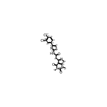 Cn1c(=O)c2c(CC(=O)Nc3nc(-c4ccc(Cl)c(Cl)c4)cs3)nsc2n(C)c1=O